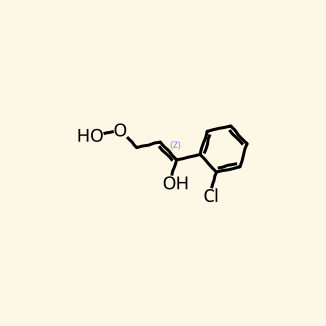 OOC/C=C(\O)c1ccccc1Cl